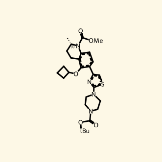 COC(=O)N1c2ccc(-c3csc(N4CCN(C(=O)OC(C)(C)C)CC4)n3)c(OC3CCC3)c2CC[C@@H]1C